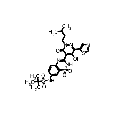 CC(C)CCn1nc(-c2cncs2)c(O)c(C2=Nc3ccc(NS(=O)(=O)C(C)(C)C)cc3S(=O)(=O)N2)c1=O